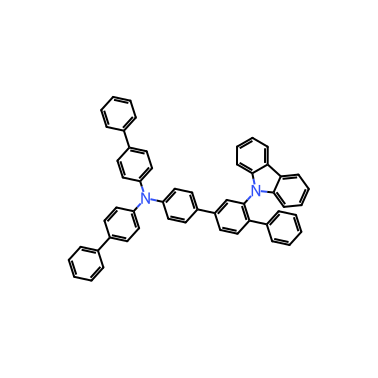 c1ccc(-c2ccc(N(c3ccc(-c4ccccc4)cc3)c3ccc(-c4ccc(-c5ccccc5)c(-n5c6ccccc6c6ccccc65)c4)cc3)cc2)cc1